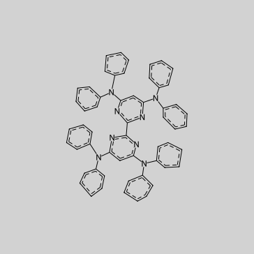 c1ccc(N(c2ccccc2)c2cc(N(c3ccccc3)c3ccccc3)nc(-c3nc(N(c4ccccc4)c4ccccc4)cc(N(c4ccccc4)c4ccccc4)n3)n2)cc1